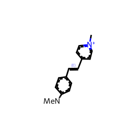 CNc1ccc(/C=C/c2cc[n+](C)cc2)cc1